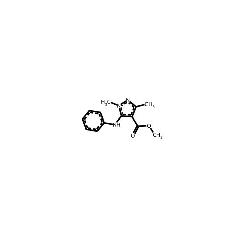 COC(=O)c1c(C)nn(C)c1Nc1ccccc1